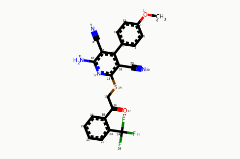 COc1ccc(-c2c(C#N)c(N)nc(SCC(=O)c3ccccc3C(F)(F)F)c2C#N)cc1